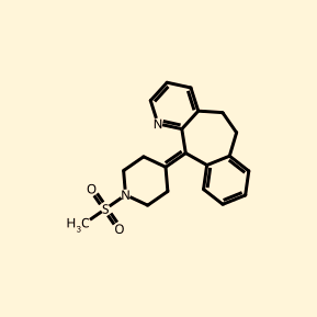 CS(=O)(=O)N1CCC(=C2c3ccccc3CCc3cccnc32)CC1